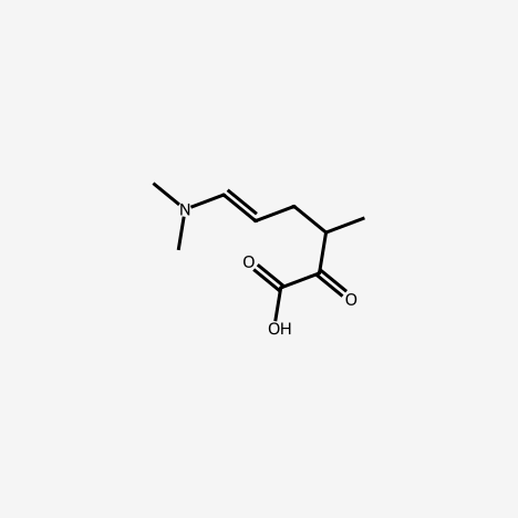 CC(CC=CN(C)C)C(=O)C(=O)O